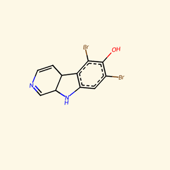 Oc1c(Br)cc2c(c1Br)C1C=CN=CC1N2